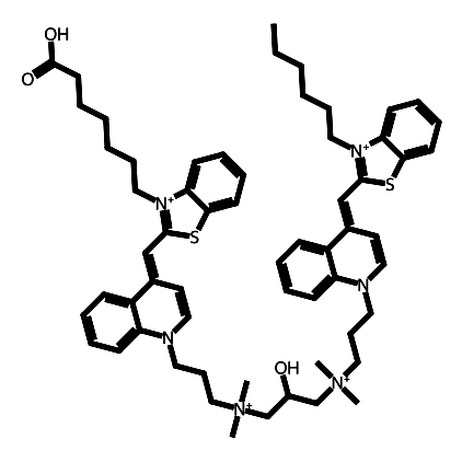 CCCCCC[n+]1c(/C=C2\C=CN(CCC[N+](C)(C)CC(O)C[N+](C)(C)CCCN3C=C/C(=C\c4sc5ccccc5[n+]4CCCCCCC(=O)O)c4ccccc43)c3ccccc32)sc2ccccc21